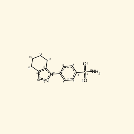 NS(=O)(=O)c1ccc(-n2ncc3c2CCCC3)cc1